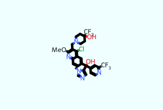 COc1nc2ccc(C(O)(c3ccnc(C(F)(F)F)c3)c3cncn3C)cc2c(Cl)c1CN1CCC(O)(C(F)(F)F)CC1